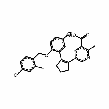 COC(=O)c1cc(C2=C(c3cc(C(F)(F)F)ccc3OCc3ccc(Cl)cc3F)CCC2)cnc1C